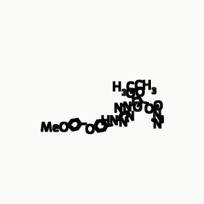 COc1ccc(COc2ccc(CNc3ncnc4c3ncn4[C@@H]3O[C@H](COC(=O)n4ccnc4)C4OC(C)(C)OC43)cc2)cc1